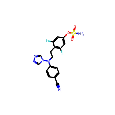 N#Cc1ccc(N(CCc2c(F)cc(OS(N)(=O)=O)cc2F)n2cnnc2)cc1